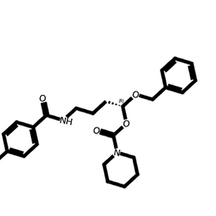 O=C(NCCC[C@H](OCc1ccccc1)OC(=O)N1CCCCC1)c1ccc(F)cc1